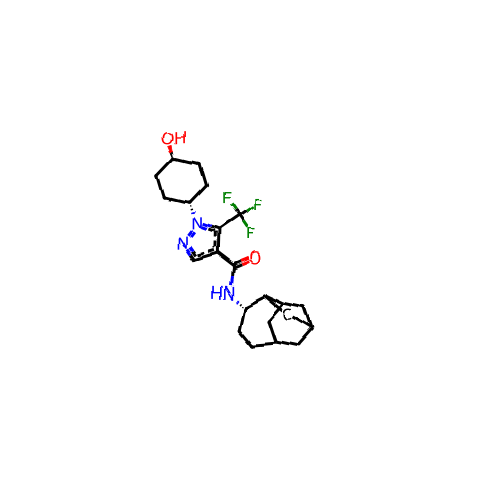 O=C(N[C@H]1CCC2CC3CC(C2)C1C3)c1cnn([C@H]2CC[C@H](O)CC2)c1C(F)(F)F